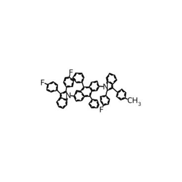 Cc1ccc(-c2c(-c3ccc(F)cc3)n(-c3ccc4c(-c5ccccc5)c5cc(-n6c(-c7ccc(F)cc7)c(-c7ccc(F)cc7)c7ccccc76)ccc5c(-c5ccccc5)c4c3)c3ccccc23)cc1